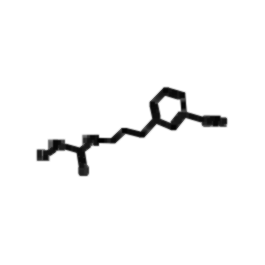 CCNC(=O)NCCCc1cccc(OC)c1